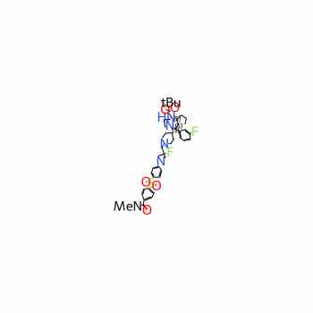 CNC(=O)c1ccc(S(=O)(=O)c2ccc(N3CC(F)(CN4CCC([C@@](c5cccc(F)c5)([C@H]5CCC[C@@H]5NC(=O)OC(C)(C)C)N5CCC5)CC4)C3)cc2)cc1